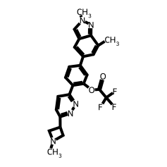 Cc1cc(-c2ccc(-c3ccc(C4CN(C)C4)nn3)c(OC(=O)C(F)(F)F)c2)cc2cn(C)nc12